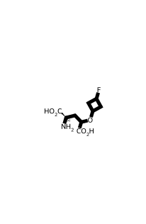 N[C@@H](CC(OC1CC(F)C1)C(=O)O)C(=O)O